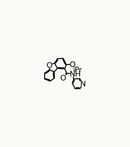 CC(C)Oc1ccc2oc3ccccc3c2c1C(=O)Nc1cccnc1